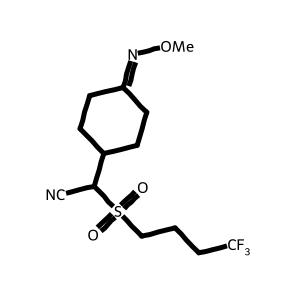 CON=C1CCC(C(C#N)S(=O)(=O)CCCC(F)(F)F)CC1